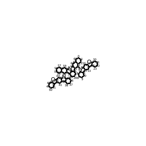 c1ccc2c(-n3c4ccccc4c4cc5c(cc43)oc3ccccc35)c3c4cccc5c6c(-n7c8ccccc8c8cc9c(cc87)oc7ccccc79)c7ccccc7cc6n(c3cc2c1)c45